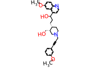 COc1cccc(C#CCN2CC[C@@H](CCC(O)c3ccnc4ccc(OC)cc34)[C@@H](CO)C2)c1